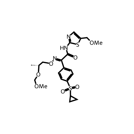 COCO[C@H](C)CO/N=C(/C(=O)Nc1ncc(COC)s1)c1ccc(S(=O)(=O)C2CC2)cc1